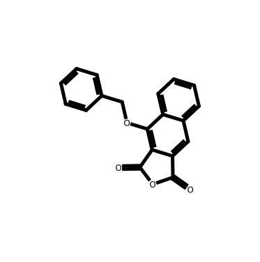 O=C1OC(=O)c2c1cc1ccccc1c2OCc1ccccc1